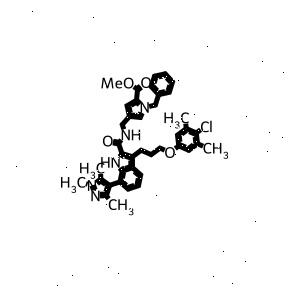 COC(=O)c1cc(CNC(=O)c2[nH]c3c(-c4c(C)nn(C)c4C)cccc3c2CCCOc2cc(C)c(Cl)c(C)c2)cn1Cc1ccccc1